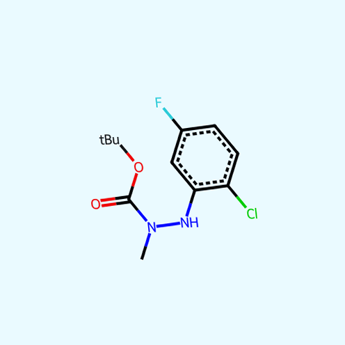 CN(Nc1cc(F)ccc1Cl)C(=O)OC(C)(C)C